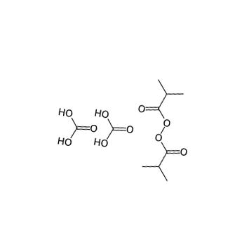 CC(C)C(=O)OOC(=O)C(C)C.O=C(O)O.O=C(O)O